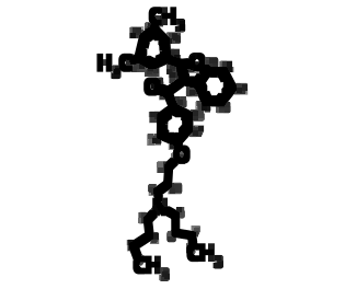 CCCCN(CCCC)CCCOc1ccc(C(=O)c2c(-c3cc(C)cc(C)c3)oc3ccccc23)cc1